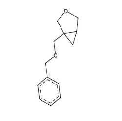 c1ccc(COCC23COCC2C3)cc1